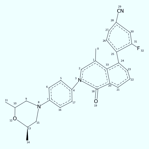 Cc1cn(-c2ccc(N3CC(C)O[C@H](C)C3)cc2)c(=O)c2cccc(-c3ccc(C#N)cc3F)c12